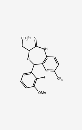 CCOC(=O)CC1OC(c2cccc(OC)c2F)c2cc(C(F)(F)F)ccc2NC1=S